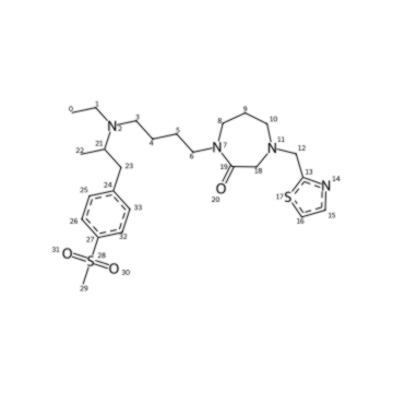 CCN(CCCCN1CCCN(Cc2nccs2)CC1=O)C(C)Cc1ccc(S(C)(=O)=O)cc1